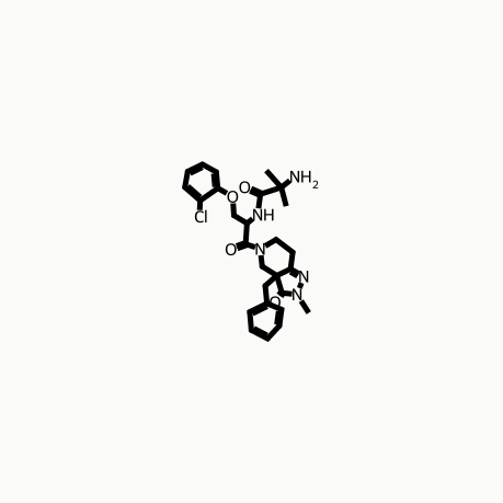 CN1N=C2CCN(C(=O)C(COc3ccccc3Cl)NC(=O)C(C)(C)N)CC2(Cc2ccccc2)C1=O